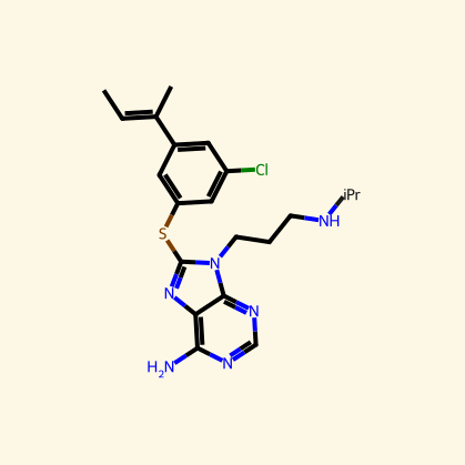 CC=C(C)c1cc(Cl)cc(Sc2nc3c(N)ncnc3n2CCCNC(C)C)c1